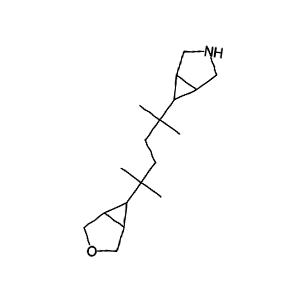 CC(C)(CCC(C)(C)C1C2COCC21)C1C2CNCC21